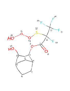 O=C(OC1C2CCC(C2)C1O)C(F)(SOOO)C(F)(F)F